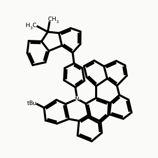 CC(C)(C)c1ccc(-c2ccccc2)c(N(c2ccc(-c3cccc4c3-c3ccccc3C4(C)C)cc2)c2ccccc2-c2cccc3cccc(-c4ccccc4)c23)c1